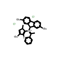 CCC1=[C](/[Zr+2](=[C](/C)c2ccccc2)[CH]2c3cc(C(C)(C)C)ccc3-c3ccc(C(C)(C)C)cc32)C(C)C=C1C(C)(C)C.[Cl-].[Cl-]